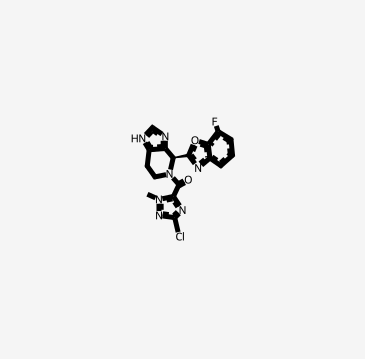 Cn1nc(Cl)nc1C(=O)N1CCc2[nH]cnc2[C@H]1c1nc2cccc(F)c2o1